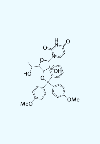 COc1ccc(C(OC2C(O)C(n3ccc(=O)[nH]c3=O)OC2C(C)O)(c2ccccc2)c2ccc(OC)cc2)cc1